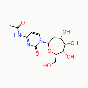 CC(=O)Nc1ccn([C@H]2C[C@H](O)[C@@H](O)[C@H](O)[C@@H](CO)O2)c(=O)n1